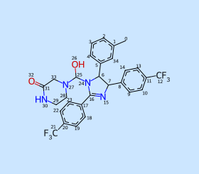 Cc1cccc(C2C(c3ccc(C(F)(F)F)cc3)N=C(c3ccc(C(F)(F)F)cc3)N2C(O)N2CCNC(=O)C2)c1